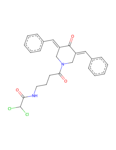 O=C1/C(=C/c2ccccc2)CN(C(=O)CCCNC(=O)C(Cl)Cl)C/C1=C\c1ccccc1